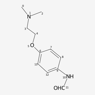 CN(C)CCOc1ccc(NC=O)cc1